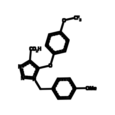 COc1ccc(Cn2nnc(C(=O)O)c2Oc2ccc(OC(F)(F)F)cc2)cc1